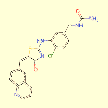 NC(=O)NCc1ccc(Cl)c(NC2=NC(=O)C(=Cc3ccc4ncccc4c3)S2)c1